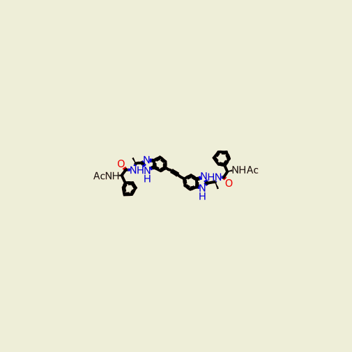 CC(=O)N[C@@H](C(=O)N[C@@H](C)c1nc2cc(C#Cc3ccc4nc([C@H](C)NC(=O)[C@H](NC(C)=O)c5ccccc5)[nH]c4c3)ccc2[nH]1)c1ccccc1